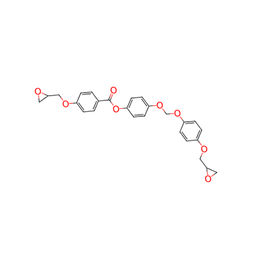 O=C(Oc1ccc(OCOc2ccc(OCC3CO3)cc2)cc1)c1ccc(OCC2CO2)cc1